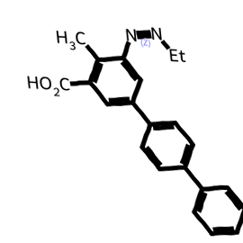 CC/N=N\c1cc(-c2ccc(-c3ccccc3)cc2)cc(C(=O)O)c1C